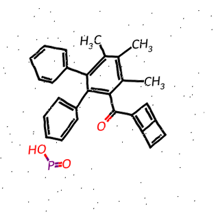 Cc1c(C)c(C(=O)c2cc3ccc2-3)c(-c2ccccc2)c(-c2ccccc2)c1C.O=PO